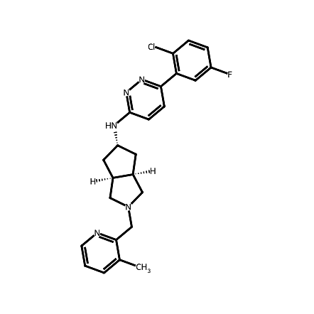 Cc1cccnc1CN1C[C@H]2C[C@H](Nc3ccc(-c4cc(F)ccc4Cl)nn3)C[C@H]2C1